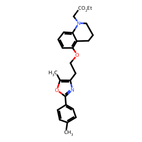 CCOC(=O)CN1CCCc2c(OCCc3nc(-c4ccc(C)cc4)oc3C)cccc21